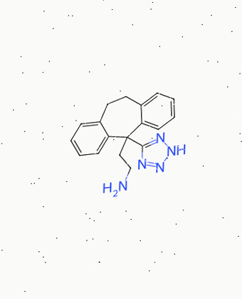 NCCC1(c2nn[nH]n2)c2ccccc2CCc2ccccc21